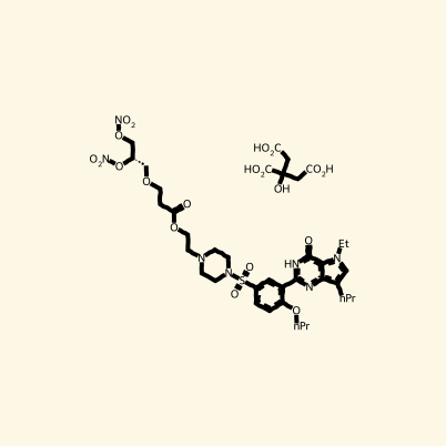 CCCOc1ccc(S(=O)(=O)N2CCN(CCOC(=O)CCOC[C@@H](CO[N+](=O)[O-])O[N+](=O)[O-])CC2)cc1-c1nc2c(CCC)cn(CC)c2c(=O)[nH]1.O=C(O)CC(O)(CC(=O)O)C(=O)O